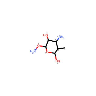 CC1C(O)OC(ON)C(O)C1N